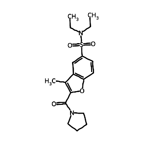 CCN(CC)S(=O)(=O)c1ccc2oc(C(=O)N3CCCC3)c(C)c2c1